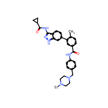 CCN1CCN(Cc2ccc(NC(=O)c3ccc(C)c(-c4ccc5c(NC(=O)C6CC6)n[nH]c5c4)c3)cc2)CC1